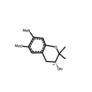 CNc1cc2c(cc1OC)C[C@@H](O)C(C)(C)O2